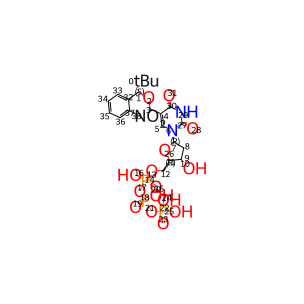 CC(C)(C)[C@H](OCc1cn([C@H]2CC(O)[C@@H](COP(=O)(O)OP(=O)(O)OP(=O)(O)O)O2)c(=O)[nH]c1=O)c1ccccc1[N+](=O)[O-]